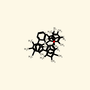 CC1=C(C)C(C)C([Si](c2ccccc2-c2c(C)c(C)c(C)c(C)c2C)(c2ccccc2-c2c(C)c(C)c(C)c(C)c2C)c2ccccc2-c2c(C)c(C)c(C)c(C)c2C)=C1C